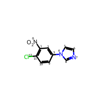 O=[N+]([O-])c1cc(-n2ccnc2)ccc1Cl